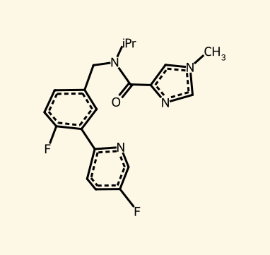 CC(C)N(Cc1ccc(F)c(-c2ccc(F)cn2)c1)C(=O)c1cn(C)cn1